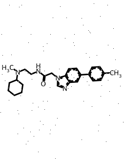 Cc1ccc(-c2ccc3c(c2)ncn3CC(=O)NCCN(C)C2CCCCC2)cc1